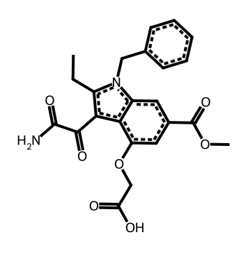 CCc1c(C(=O)C(N)=O)c2c(OCC(=O)O)cc(C(=O)OC)cc2n1Cc1ccccc1